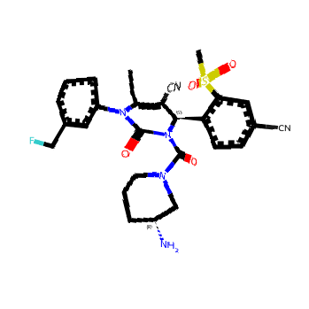 CC1=C(C#N)[C@@H](c2ccc(C#N)cc2S(C)(=O)=O)N(C(=O)N2CCC[C@@H](N)C2)C(=O)N1c1cccc(CF)c1